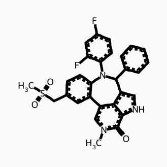 Cn1cc2c3c(c[nH]c3c1=O)C(c1ccccc1)N(c1ccc(F)cc1F)c1ccc(CS(C)(=O)=O)cc1-2